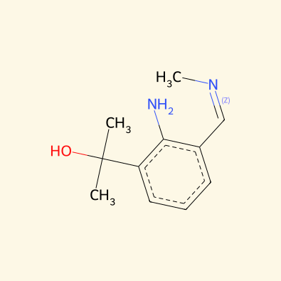 C/N=C\c1cccc(C(C)(C)O)c1N